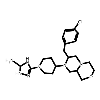 NC1NN=C(N2CCC(N3CC4COCCN4CC3Cc3ccc(Cl)cc3)CC2)N1